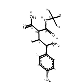 COc1ccc(C(N)C(C)C(C(=O)O)C(=O)OC(C)(C)C)cc1